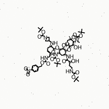 CN(C(=O)OC(C)(C)C)[C@@H]1[C@@H](O)[C@@H](O[C@@H]2[C@@H](O)[C@H](O[C@H]3OC(CNC(=O)OCc4ccc([N+](=O)[O-])cc4)=CC[C@H]3NC3CN(C(=O)OC(C)(C)C)C3)[C@@H](NC(=O)OC(C)(C)C)C[C@H]2NC(=O)[C@@H](O)CCNC(=O)OC(C)(C)C)OC[C@]1(C)O